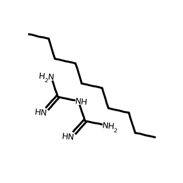 CCCCCCCCCC.N=C(N)NC(=N)N